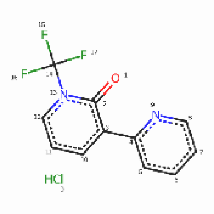 Cl.O=c1c(-c2ccccn2)cccn1C(F)(F)F